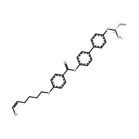 CC/C=C\CCCCOc1ccc(C(=O)Oc2ccc(-c3ccc(O[C@@H](C)CCCCCC)cc3)cc2)cc1